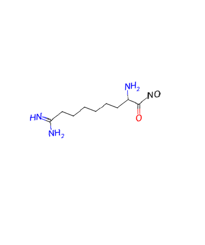 N=C(N)CCCCCCC(N)C(=O)N=O